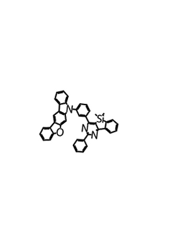 C[Si]1(C)c2ccccc2-c2nc(-c3ccccc3)nc(-c3cccc(-n4c5ccccc5c5cc6c(cc54)oc4ccccc46)c3)c21